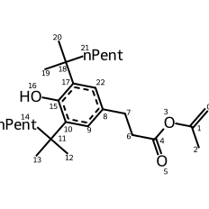 C=C(C)OC(=O)CCc1cc(C(C)(C)CCCCC)c(O)c(C(C)(C)CCCCC)c1